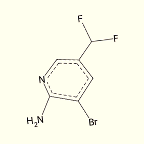 Nc1ncc(C(F)F)cc1Br